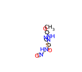 COc1ccc(Nc2nccc(-c3ccc(C(=O)NCCCN4CCOCC4)s3)n2)cc1